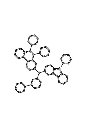 c1ccc(-c2cccc(N(c3ccc4c(c3)c(-c3ccccc3)c(-c3ccccc3)c3ccccc34)c3ccc4c(c3)c3ccccc3n4-c3ccccc3)c2)cc1